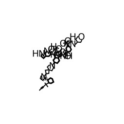 CC#CC(C)(C)c1ccccc1[C@@H]1CCCN1C1CC2(CCN(c3ccc(C(=O)NS(=O)(=O)c4ccc(NCC5CCOCC5)c([N+](=O)[O-])c4)c(N4c5cc6cc[nH]c6nc5O[C@H]5COC[C@@H]54)c3)CC2)C1